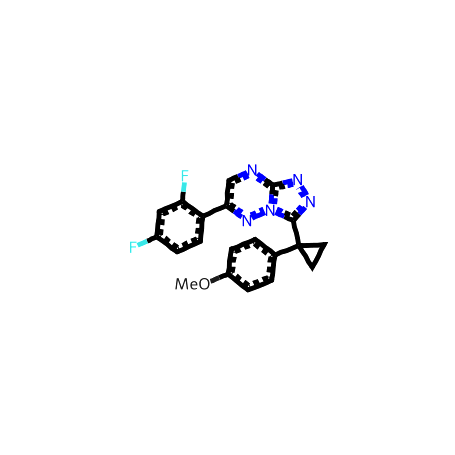 COc1ccc(C2(c3nnc4ncc(-c5ccc(F)cc5F)nn34)CC2)cc1